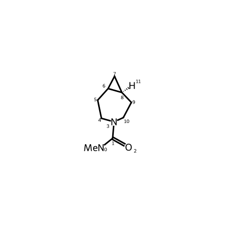 CNC(=O)N1CCC2C[C@H]2CC1